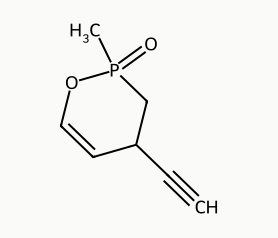 C#CC1C=COP(C)(=O)C1